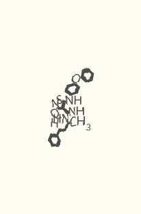 CC(CCc1ccccc1)NC(=N)c1c(O)nsc1Nc1ccc(Oc2ccccc2)cc1